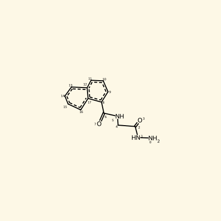 NNC(=O)CNC(=O)c1cccc2ccccc12